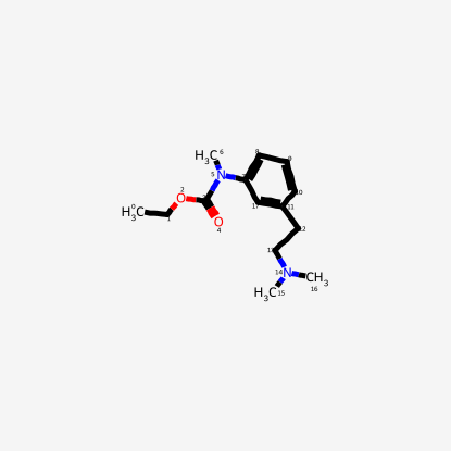 CCOC(=O)N(C)c1cccc(CCN(C)C)c1